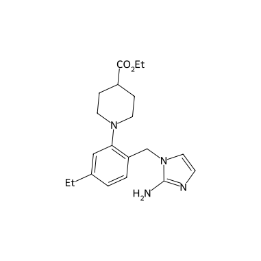 CCOC(=O)C1CCN(c2cc(CC)ccc2Cn2ccnc2N)CC1